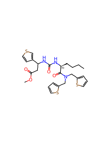 CCCC[C@H](NC(=O)NC(CC(=O)OC)c1ccsc1)C(=O)N(Cc1cccs1)Cc1cccs1